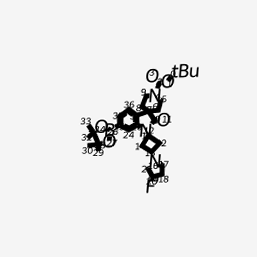 CC(C)(C)OC(=O)N1CCC2(CC1)C(=O)N([C@H]1C[C@@H](N3CC[C@@H](F)C3)C1)c1cc(B3OC(C)(C)C(C)(C)O3)ccc12